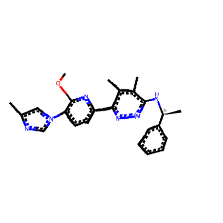 COc1nc(-c2nnc(N[C@@H](C)c3ccccc3)c(C)c2C)ccc1-n1cnc(C)c1